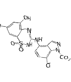 O=C(O)n1ncc2c(NC3=Nc4c(O)cc(Cl)cc4S(=O)(=O)N3)ccc(Cl)c21